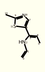 C=CN/C(=C\C)c1cnc(C)s1